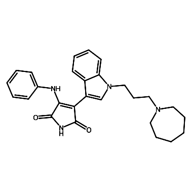 O=C1NC(=O)C(c2cn(CCCN3CCCCCC3)c3ccccc23)=C1Nc1ccccc1